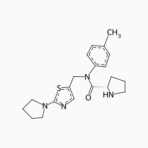 Cc1ccc(N(Cc2cnc(N3CCCC3)s2)C(=O)[C@@H]2CCCN2)cc1